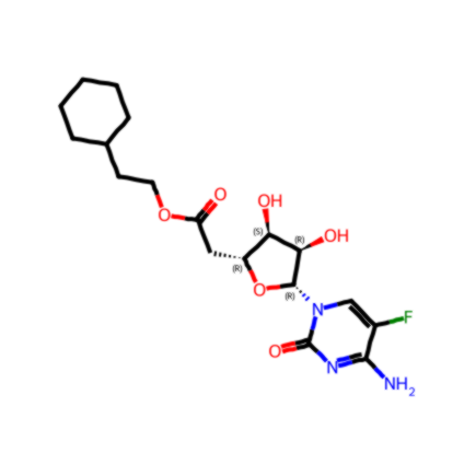 Nc1nc(=O)n([C@@H]2O[C@H](CC(=O)OCCC3CCCCC3)[C@@H](O)[C@H]2O)cc1F